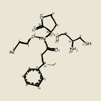 CCC(C)CCON(C(=O)C[C@H](C)c1ccccc1)[C@]1(NCC(N)CS)CCOC1=O